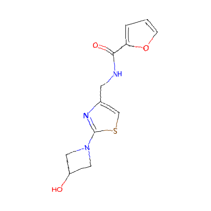 O=C(NCc1csc(N2CC(O)C2)n1)c1ccco1